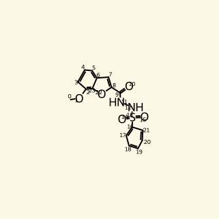 COc1cccc2cc(C(=O)NNS(=O)(=O)c3ccccc3)oc12